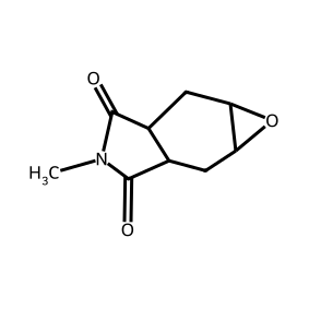 CN1C(=O)C2CC3OC3CC2C1=O